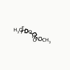 CC1CCN(C(=O)c2cccc(COc3ccc(C(C)(F)F)cc3)n2)CC1